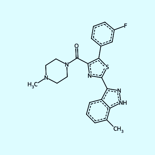 Cc1cccc2c(-c3nc(C(=O)N4CCN(C)CC4)c(-c4cccc(F)c4)s3)n[nH]c12